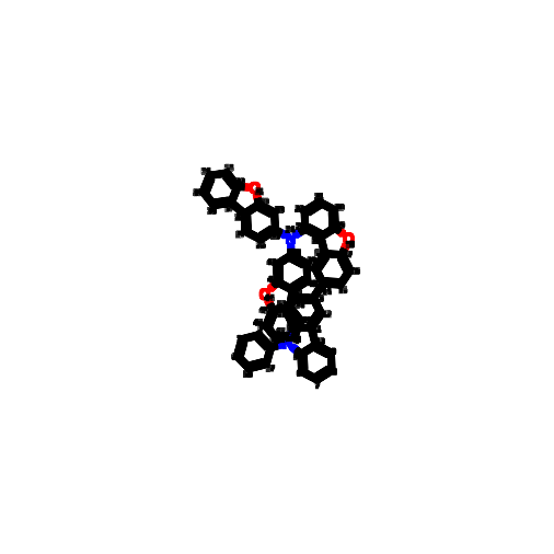 c1ccc(-n2c3ccccc3c3cc(-c4ccc5oc6cccc(N(c7ccc8c(c7)oc7ccccc78)c7ccc8c(c7)oc7ccccc78)c6c5c4)ccc32)cc1